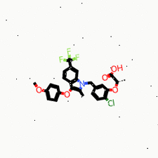 COc1ccc(Oc2c(C)n(Cc3ccc(Cl)c(O[C@@H](C)C(=O)O)c3)c3cc(C(F)(F)F)ccc23)cc1